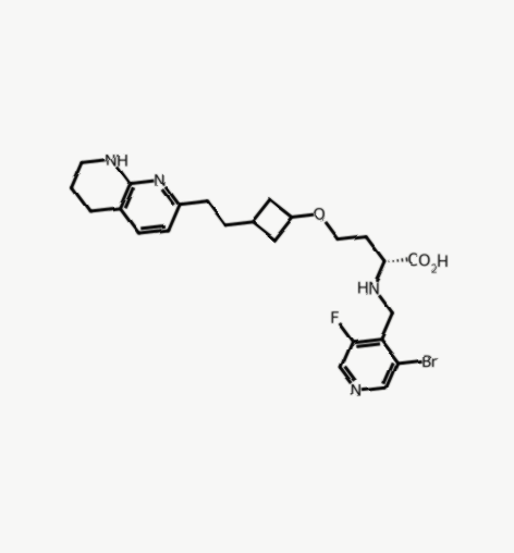 O=C(O)[C@@H](CCOC1CC(CCc2ccc3c(n2)NCCC3)C1)NCc1c(F)cncc1Br